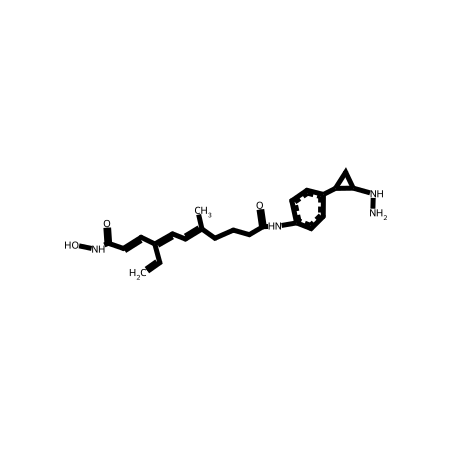 C=CC(/C=C/C(=O)NO)=C\C=C(/C)CCCC(=O)Nc1ccc(C2CC2NN)cc1